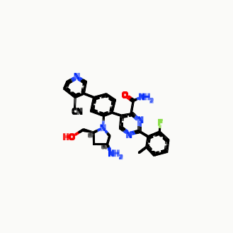 Cc1cccc(F)c1-c1ncc(-c2ccc(-c3cnccc3C#N)cc2N2C[C@@H](N)C[C@H]2CO)c(C(N)=O)n1